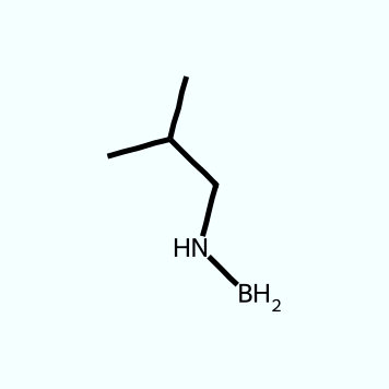 BNCC(C)C